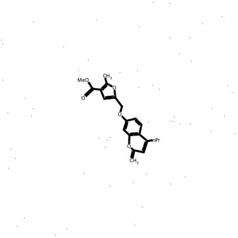 C=C1C=C(CCC)c2ccc(OCc3cc(C(=O)OC)c(C)o3)cc2O1